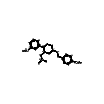 COc1ccc(COC2CCC(c3cccc(OC)c3)C(CN(C)C)C2)cc1